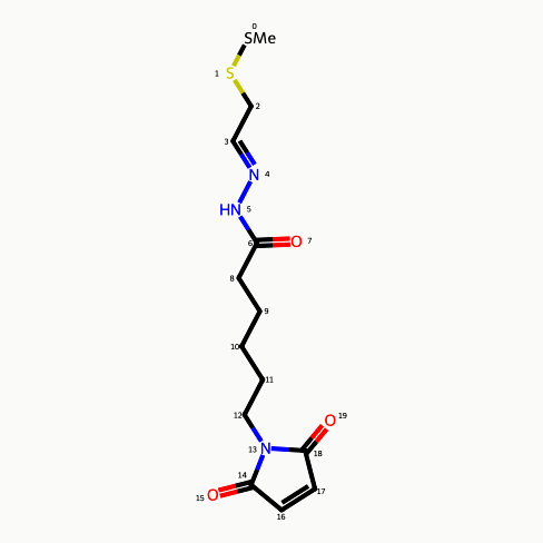 CSSC/C=N/NC(=O)CCCCCN1C(=O)C=CC1=O